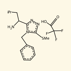 CSc1nnc(C(N)CC(C)C)n1Cc1ccccc1.O=C(O)C(F)(F)F